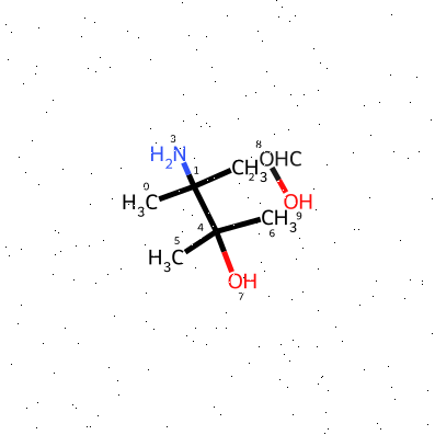 CC(C)(N)C(C)(C)O.O=CO